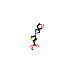 COC(=O)c1cc(N2CC3(CCOC3)C2)cs1